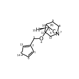 c1cc(CO[C@H]2CN3CCC2CC3)cs1